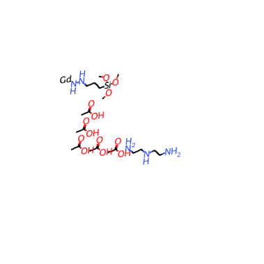 CC(=O)O.CC(=O)O.CC(=O)O.CC(=O)O.CC(=O)O.CO[Si](CCCN[NH][Gd])(OC)OC.NCCNCCN